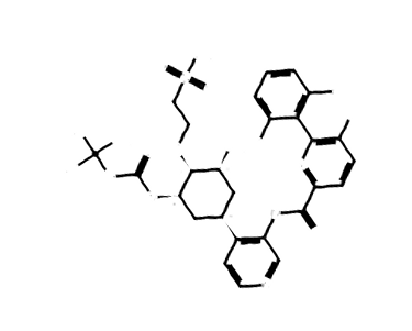 C[C@H]1C[C@@H](c2ccncc2NC(=O)c2ccc(F)c(-c3c(F)cccc3F)n2)C[C@@H](NC(=O)OC(C)(C)C)[C@H]1OCCS(C)(=O)=O